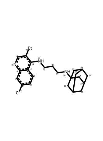 CCc1cnc2cc(Cl)ccc2c1NCCCNC12CC3CC(CC(C3)C1)C2